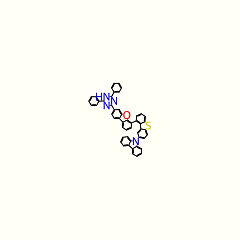 c1ccc(C2=NC(c3ccc4c(c3)oc3c(-c5cccc6sc7ccc(-n8c9ccccc9c9ccccc98)cc7c56)cccc34)=NC(c3ccccc3)N2)cc1